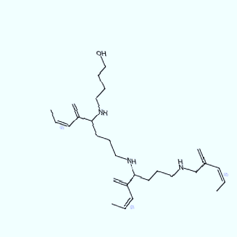 C=C(/C=C\C)CNCCCC(NCCCC(NCCCCO)C(=C)/C=C\C)C(=C)/C=C\C